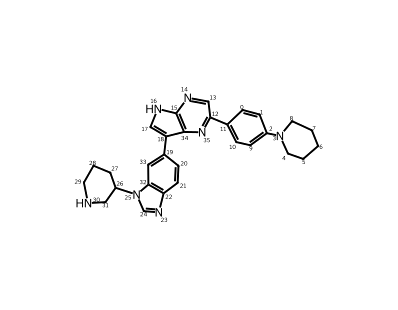 c1cc(N2CCCCC2)ccc1-c1cnc2[nH]cc(-c3ccc4ncn(C5CCCNC5)c4c3)c2n1